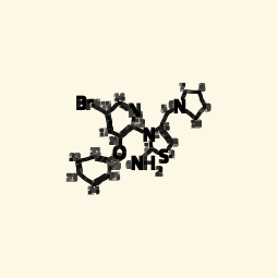 NC1SC=C(CN2CCCC2)N1c1ncc(Br)cc1Oc1ccccc1